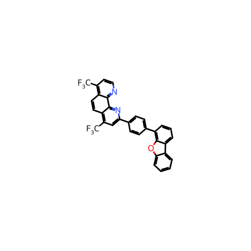 FC(F)(F)c1ccnc2c1ccc1c(C(F)(F)F)cc(-c3ccc(-c4cccc5c4oc4ccccc45)cc3)nc12